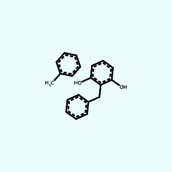 Cc1ccccc1.Oc1cccc(O)c1Cc1ccccc1